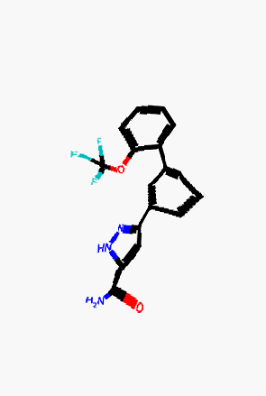 NC(=O)c1cc(-c2cccc(-c3ccccc3OC(F)(F)F)c2)n[nH]1